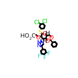 O=C(O)CO[C@@H]1[C@@H](n2cc(-c3cc(F)c(F)c(F)c3)nn2)[C@H]2OC(c3ccccc3)OC[C@H]2O[C@@H]1Sc1ccc(Cl)c(Cl)c1